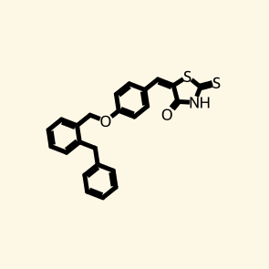 O=C1NC(=S)SC1=Cc1ccc(OCc2ccccc2Cc2ccccc2)cc1